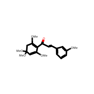 COC1=CC(OC)(OC)CC(OC)=C1C(=O)/C=C/c1cccc(OC)c1